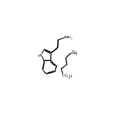 NCCc1c[nH]c2ccccc12.O=C(O)CCCO